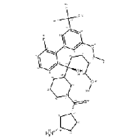 CCOc1cc(-c2c(F)cccc2[C@](O)(CCCCOC)C2CCCN(C(=O)[C@@H]3CC[C@H](N)C3)C2)cc(C(F)(F)F)c1